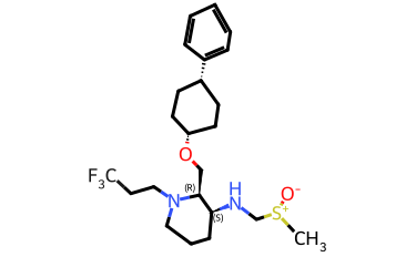 C[S+]([O-])CN[C@H]1CCCN(CCC(F)(F)F)[C@H]1CO[C@H]1CC[C@@H](c2ccccc2)CC1